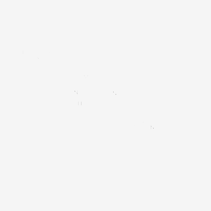 CC(=O)Oc1ccc(N(C)C(=O)CCN2CCC(OC(=O)Nc3ccccc3-c3ccccc3)CC2)cc1